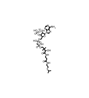 CC(C)SCCNC(=O)CCNC(=O)[C@H](O)C(C)(C)COP(=O)(O)OP(=O)(O)OCC1O[C@@H](n2cnc3c(N)ncnc32)[C@H](O)[C@@H]1OP(=O)(O)O